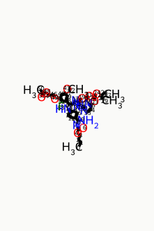 CCCCOC(=O)/N=C(\N)c1ccc(N[C@@H](c2nc(OCOC(=O)OC(CC)CC)n(-c3ncccn3)n2)c2cc(OC)cc(OCCOC(C)=O)c2F)cc1